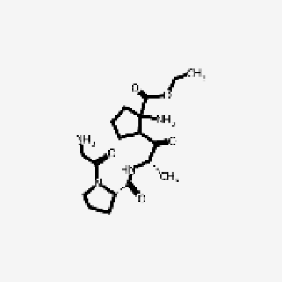 CCOC(=O)C1(N)CCCC1C(=O)[C@H](C)NC(=O)[C@@H]1CCCN1C(=O)CN